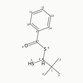 CC(C)(C)[SH](S)SC(=O)c1ccccc1